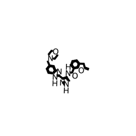 C=C1Cc2cccc(C(=O)Nc3c[nH]nc3-c3nc4cc(CN5CCOCC5)ccc4[nH]3)c2O1